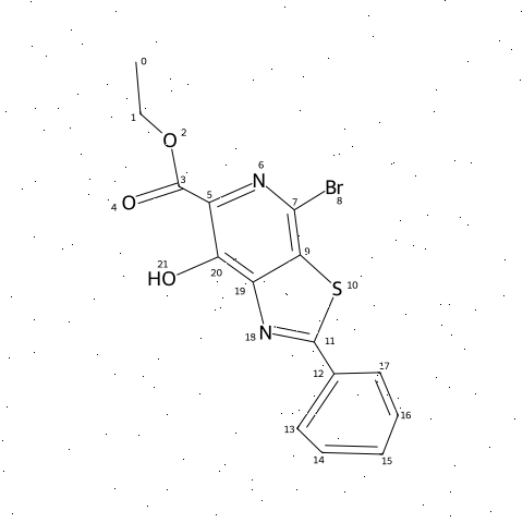 CCOC(=O)c1nc(Br)c2sc(-c3ccccc3)nc2c1O